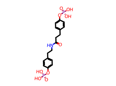 O=C(CCc1ccc(OP(=O)(O)O)cc1)NCCc1ccc(OP(=O)(O)O)cc1